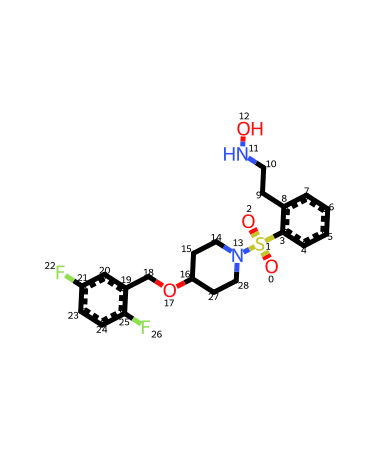 O=S(=O)(c1ccccc1CCNO)N1CCC(OCc2cc(F)ccc2F)CC1